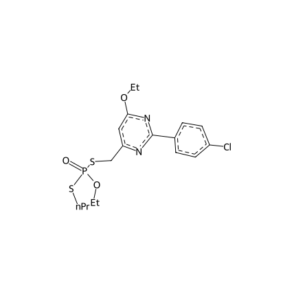 CCCSP(=O)(OCC)SCc1cc(OCC)nc(-c2ccc(Cl)cc2)n1